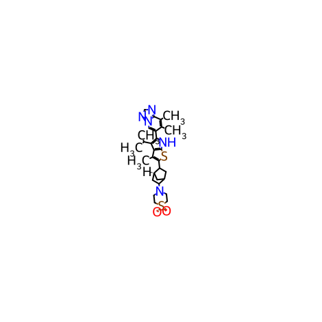 Cc1c(-c2[nH]c3sc(C4CC5C[C@H]4CC5N4CCS(=O)(=O)CC4)c(C)c3c2C(C)C)cn2ncnc2c1C